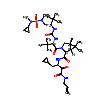 C=CCNC(=O)C(=O)C(CC1CC1)NC(=O)[C@@H]1[C@@H]2[C@H](CN1C(=O)[C@@H](NC(=O)N[C@H](CN(C)S(=O)(=O)N(C)C1CC1)C(C)(C)C)C(C)(C)C)C2(C)C